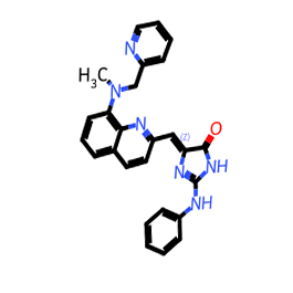 CN(Cc1ccccn1)c1cccc2ccc(/C=C3\N=C(Nc4ccccc4)NC3=O)nc12